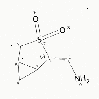 NC[C@@H]1C2CC2CS1(=O)=O